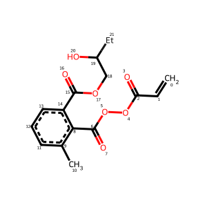 C=CC(=O)OOC(=O)c1c(C)cccc1C(=O)OCC(O)CC